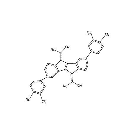 N#CC(C#N)=C1C2=C(C(=C(C#N)C#N)c3ccc(-c4ccc(C#N)c(C(F)(F)F)c4)cc32)c2cc(-c3ccc(C#N)c(C(F)(F)F)c3)ccc21